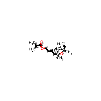 C=C[Si](C)(C)O[Si](C)(C)CCCCOC(=O)C(=C)C